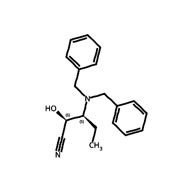 CC[C@@H]([C@H](O)C#N)N(Cc1ccccc1)Cc1ccccc1